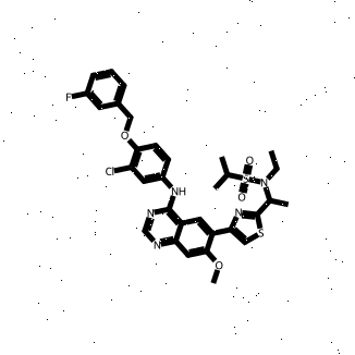 CCN(C(C)c1nc(-c2cc3c(Nc4ccc(OCc5cccc(F)c5)c(Cl)c4)ncnc3cc2OC)cs1)S(=O)(=O)C(C)C